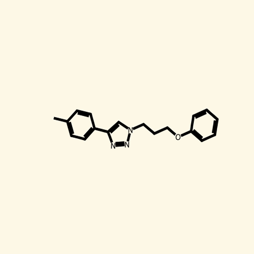 Cc1ccc(-c2cn(CCCOc3ccccc3)nn2)cc1